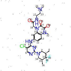 C[C@@H]1CN(c2ncc(Cl)c(Nc3ccc4c(c3)n(CC(=O)NCCN(C)C)c(=O)c(=O)n4C)n2)C[C@H](C)C1(F)F